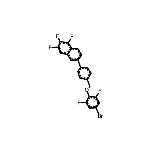 Fc1cc2cc(-c3ccc(COc4c(F)cc(Br)cc4F)cc3)ccc2c(F)c1F